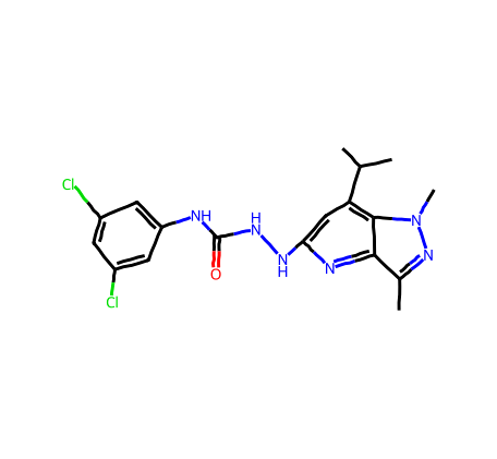 Cc1nn(C)c2c(C(C)C)cc(NNC(=O)Nc3cc(Cl)cc(Cl)c3)nc12